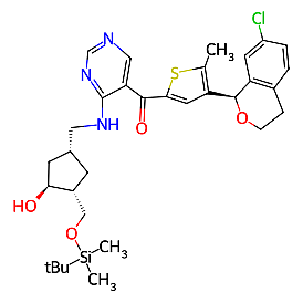 Cc1sc(C(=O)c2cncnc2NC[C@@H]2C[C@H](CO[Si](C)(C)C(C)(C)C)[C@@H](O)C2)cc1[C@@H]1OCCc2ccc(Cl)cc21